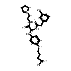 O=C(O)CCCOc1ccc(NC(NC(=O)Cc2cccc(Cl)c2)C(=O)NCCN2CCCC2)cc1